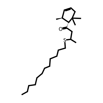 CCCCCCCCCCCCSC(C)CC(=O)[C@@H]1[C@@H](C)C=CCC1(C)C